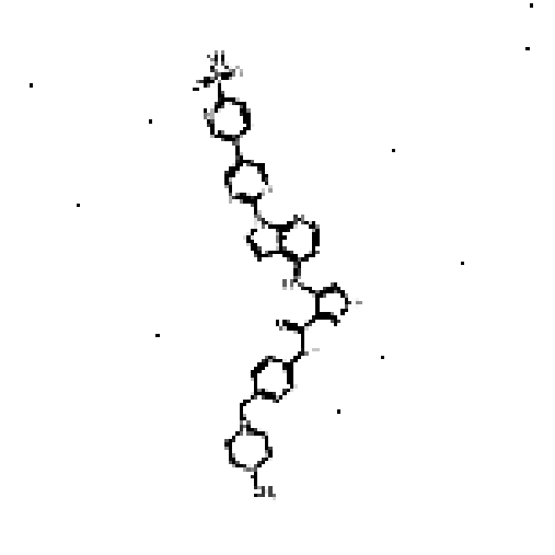 CN1CCN(Cc2ccc(NC(=O)c3n[nH]cc3Nc3ncnc4c3ccn4-c3ncc(-c4ccc(S(N)(=O)=O)nc4)cn3)cc2)CC1